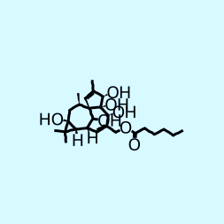 CCCCCC(=O)OCC1=C[C@@H]2C(O)[C@]3(C=C(C)[C@H](O)[C@@]3(O)[C@@H]1O)[C@H](C)C[C@]1(O)[C@H]2C1(C)C